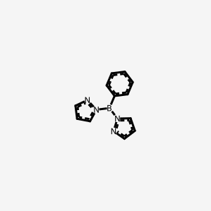 c1ccc(B(n2cccn2)n2cccn2)cc1